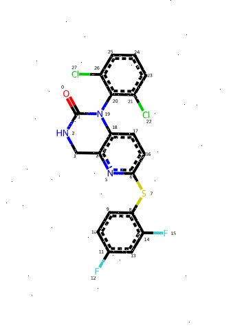 O=C1NCc2nc(Sc3ccc(F)cc3F)ccc2N1c1c(Cl)cccc1Cl